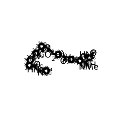 CNc1cc(N2CCN(C(=O)CN3CCC(CCCOc4cccc(-c5ccc(N6CCc7cccc(C(=O)Nc8nc9ccccc9s8)c7C6)nc5C(=O)O)c4C)CC3)CC2)ccc1C(=N)C1CCC(=O)NC1=O